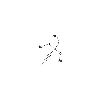 CC#C[Si](OCCCC)(OCCCC)OCCCC